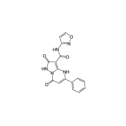 O=C(Nc1ccon1)c1c(=O)[nH]n2c(=O)cc(-c3ccccc3)[nH]c12